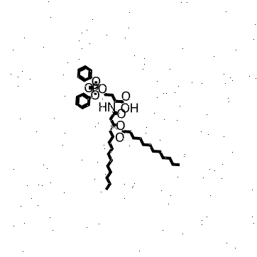 CCCCCCCCCCCC(=O)O[C@H](CCCCCCCCCCC)CC(=O)NC(CCOP(=O)(Oc1ccccc1)Oc1ccccc1)C(=O)O